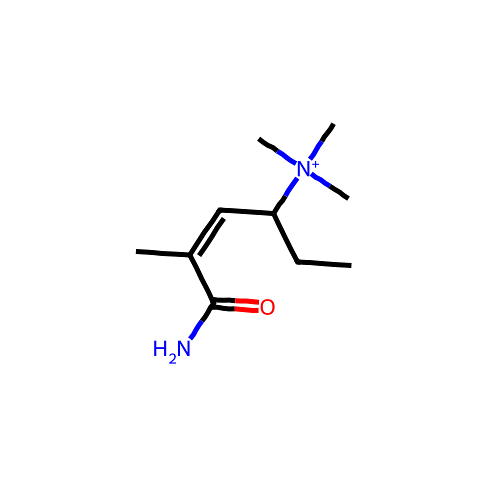 CCC(C=C(C)C(N)=O)[N+](C)(C)C